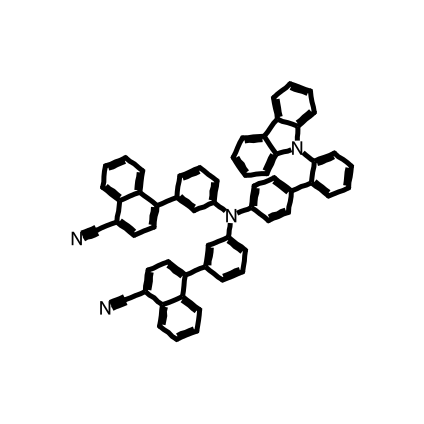 N#Cc1ccc(-c2cccc(N(c3ccc(-c4ccccc4-n4c5ccccc5c5ccccc54)cc3)c3cccc(-c4ccc(C#N)c5ccccc45)c3)c2)c2ccccc12